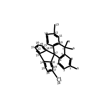 Cc1ccc2c(c1)C(C)(C)c1cc(C)ccc1C21c2ccccc2-c2ccc(Cl)cc21